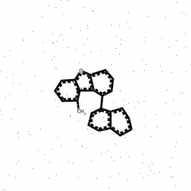 Cc1cccc2oc3cccc(-c4cccc5ccccc45)c3c12